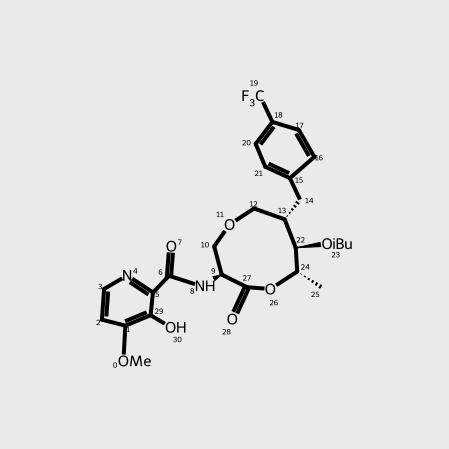 COc1ccnc(C(=O)N[C@H]2COC[C@H](Cc3ccc(C(F)(F)F)cc3)[C@@H](OCC(C)C)[C@H](C)OC2=O)c1O